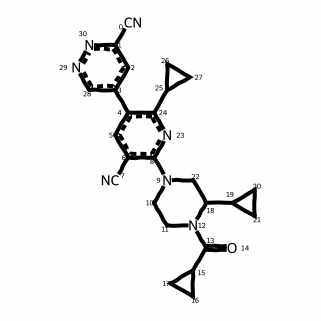 N#Cc1cc(-c2cc(C#N)c(N3CCN(C(=O)C4CC4)C(C4CC4)C3)nc2C2CC2)cnn1